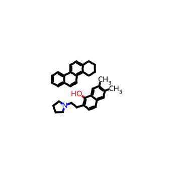 Cc1cc2ccc(CCN3CCCC3)c(O)c2cc1C.c1ccc2c(c1)ccc1c3c(ccc12)CCCC3